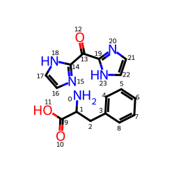 NC(Cc1ccccc1)C(=O)O.O=C(c1ncc[nH]1)c1ncc[nH]1